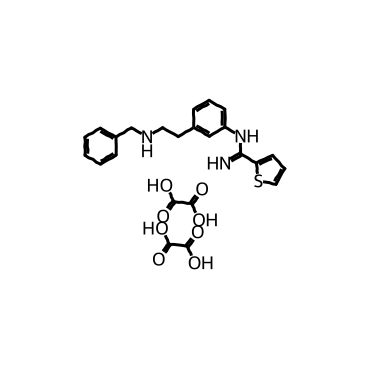 N=C(Nc1cccc(CCNCc2ccccc2)c1)c1cccs1.O=C(O)C(=O)O.O=C(O)C(=O)O